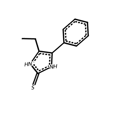 CCc1[nH]c(=S)[nH]c1-c1ccccc1